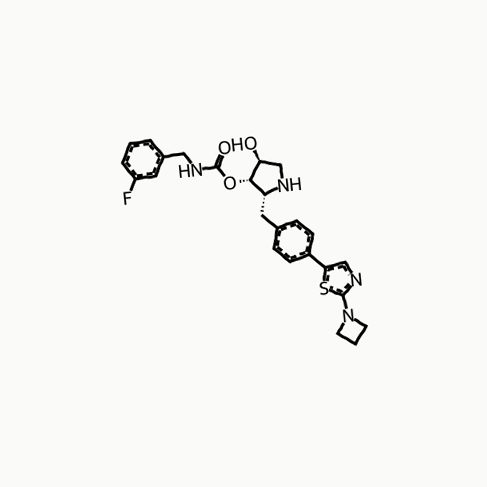 O=C(NCc1cccc(F)c1)O[C@@H]1[C@@H](O)CN[C@@H]1Cc1ccc(-c2cnc(N3CCC3)s2)cc1